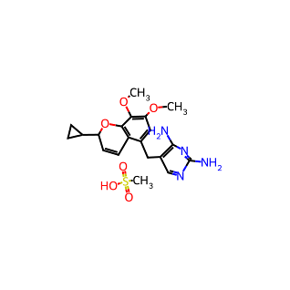 COc1cc(Cc2cnc(N)nc2N)c2c(c1OC)OC(C1CC1)C=C2.CS(=O)(=O)O